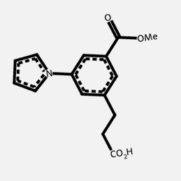 COC(=O)c1cc(CCC(=O)O)cc(-n2cccc2)c1